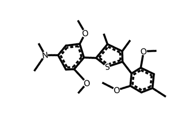 COc1cc(C)cc(OC)c1-c1sc(-c2c(OC)cc(N(C)C)cc2OC)c(C)c1C